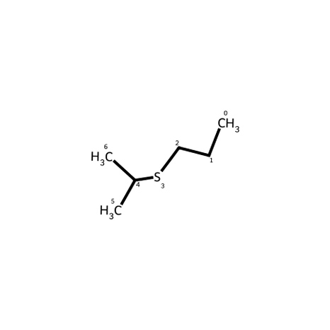 CCCSC(C)C